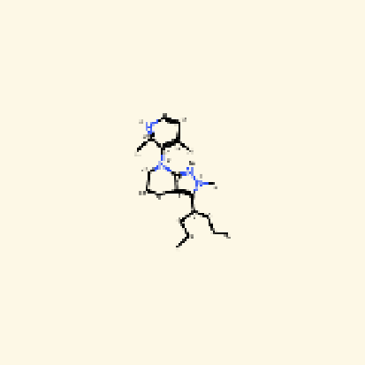 CCCC(CCC)c1c2c(nn1C)N(c1c(C)ccnc1C)CCC2